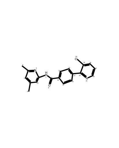 Cc1cc(C)nc(NC(=O)c2ccc(-c3ncccc3Cl)cc2)c1